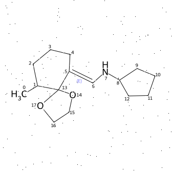 CC1CCC/C(=C\NC2CCCC2)C12OCCO2